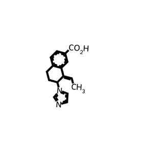 C/C=C1/c2cc(C(=O)O)ccc2CCC1n1ccnc1